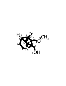 COC[C@]1(CO)C(=O)[C@@H]2CCCN1CC2